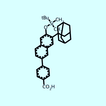 CC(C)(C)[Si](C)(C)Oc1cc2ccc(-c3ccc(C(=O)O)cc3)cc2cc1C12CC3CC(CC(C3)C1)C2